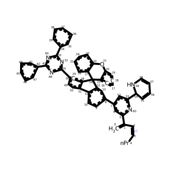 C=C(/C=C\CCC)c1cc(-c2ccc3c(c2)C2(c4ccccc4Oc4ccccc42)c2cc(-c4nc(-c5ccccc5)nc(-c5ccccc5)n4)ccc2-3)cc(C2C=CC=CN2)n1